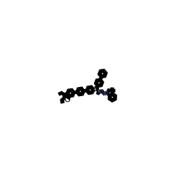 C=Cc1oc2cc(-c3ccc(-c4ccc(N(/C(C)=C/C=C5\CC(C)(C)c6ccccc65)c5ccc(-c6ccccc6)cc5)cc4)cc3)ccc2c1CC